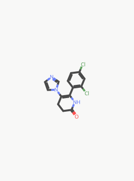 O=C1CCC(n2ccnc2)=C(c2ccc(Cl)cc2Cl)N1